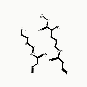 C=CCC(=N)NCCCC(N)C(=O)OC(C)(C)C.C=CCC(=N)NCCCCN